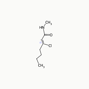 CCCC/C(Cl)=[C]/C(=O)NC